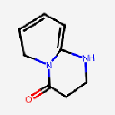 O=C1CCNC2=CC=CCN12